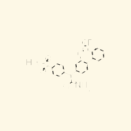 CS(=O)(=O)c1ccc(C(C(N)=O)c2ccc(-c3ccccc3OC(F)(F)F)c(Cl)c2)cc1